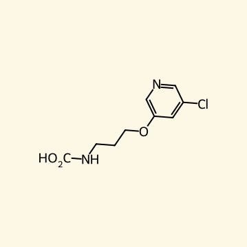 O=C(O)NCCCOc1cncc(Cl)c1